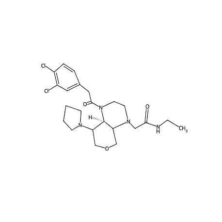 CCNC(=O)CN1CCN(C(=O)Cc2ccc(Cl)c(Cl)c2)[C@@H]2C(N3CCCC3)COCC21